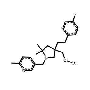 CCOCC1(CCc2ccc(F)cn2)CN(Cc2ccc(C)nc2)C(C)(C)C1